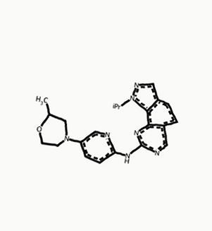 CC1CN(c2ccc(Nc3ncc4ccc5cnn(C(C)C)c5c4n3)nc2)CCO1